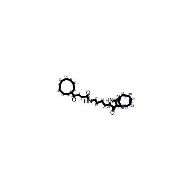 O=C(CCC(=O)C1CCCCCCCCC1)NCCCCC1NC2C3=CC(=C/C=C\C=C/3)\C2C1=O